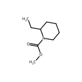 CCC1CCCCN1C(=O)OC